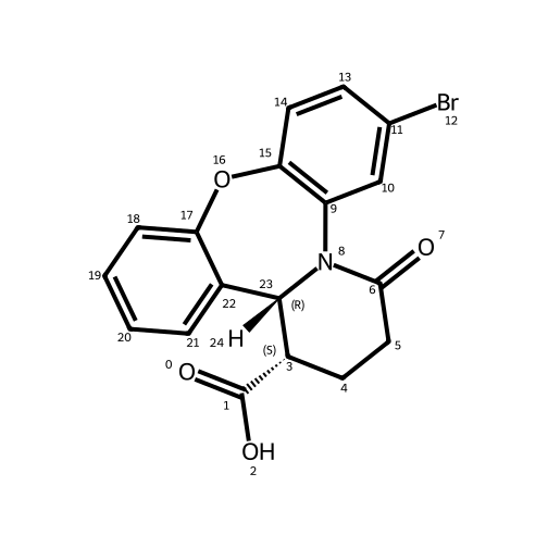 O=C(O)[C@H]1CCC(=O)N2c3cc(Br)ccc3Oc3ccccc3[C@@H]12